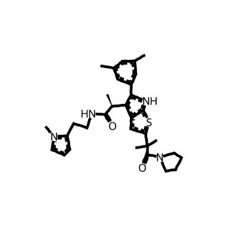 Cc1cc(C)cc(-c2[nH]c3sc(C(C)(C)C(=O)N4CCCC4)cc3c2[C@H](C)C(=O)NCCc2cccn2C)c1